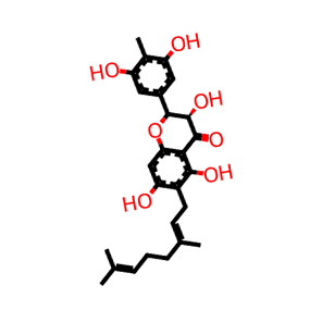 CC(C)=CCC/C(C)=C/Cc1c(O)cc2c(c1O)C(=O)[C@H](O)C(c1cc(O)c(C)c(O)c1)O2